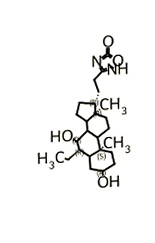 CC[C@@H]1C2C[C@H](O)CC[C@]2(C)C2CC[C@@]3(C)C(CC[C@@H]3CCc3nc(=O)o[nH]3)C2[C@@H]1O